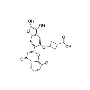 O=C(O)C1CC(Oc2cc3c(O)c(O)oc3cc2-c2cc(=O)c3cccc(Cl)c3o2)C1